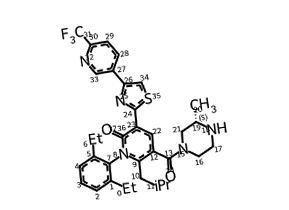 CCc1cccc(CC)c1-n1c(CC(C)C)c(C(=O)N2CCN[C@@H](C)C2)cc(-c2nc(-c3ccc(C(F)(F)F)nc3)cs2)c1=O